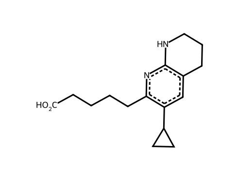 O=C(O)CCCCc1nc2c(cc1C1CC1)CCCN2